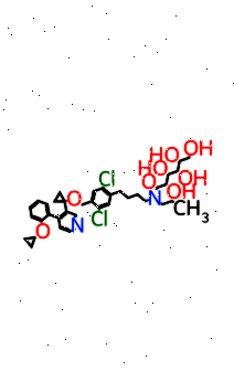 CCCN(CCCCc1cc(Cl)c(COC2(c3cnccc3-c3ccccc3OC3CC3)CC2)cc1Cl)C(=O)C(O)C(O)C(O)C(O)CO